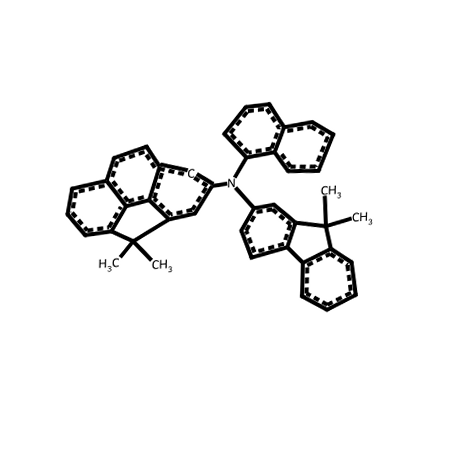 CC1(C)c2ccccc2-c2ccc(N(c3cc4c5c(ccc6cccc(c65)C4(C)C)c3)c3cccc4ccccc34)cc21